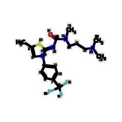 Cc1cn(-c2ccc(C(F)(F)F)cc2)c(=NC(=O)N(C)CCCN(C)C)s1